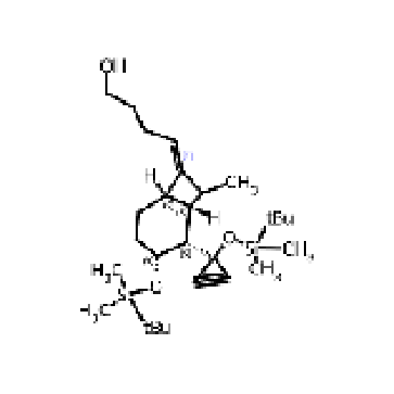 CC1/C(=C/CCCO)[C@H]2CC[C@@H](O[Si](C)(C)C(C)(C)C)[C@@H](C3(O[Si](C)(C)C(C)(C)C)C#C3)[C@@H]12